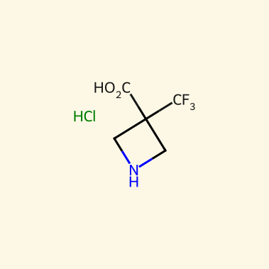 Cl.O=C(O)C1(C(F)(F)F)CNC1